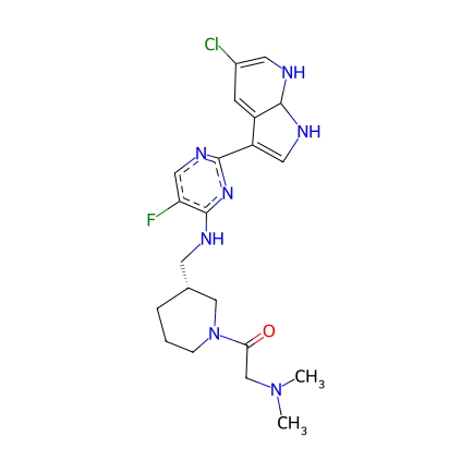 CN(C)CC(=O)N1CCC[C@H](CNc2nc(C3=CNC4NC=C(Cl)C=C34)ncc2F)C1